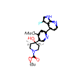 COc1cc(-c2ccnc3[nH]cc(F)c23)ncc1C1(O)[C@H](C)CN(C(=O)OC(C)(C)C)C[C@@H]1C